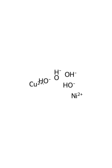 [Cu+2].[Ni+2].[OH-].[OH-].[OH-].[OH-]